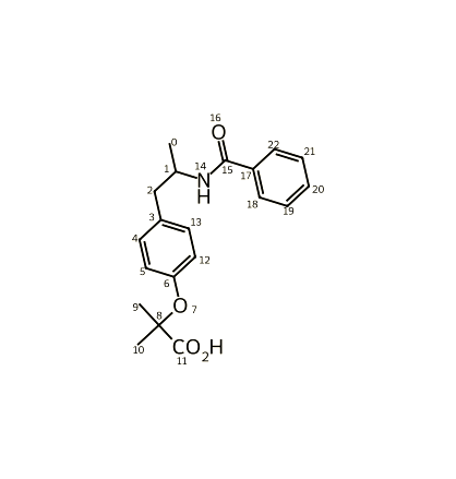 CC(Cc1ccc(OC(C)(C)C(=O)O)cc1)NC(=O)c1ccccc1